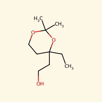 CCC1(CCO)CCOC(C)(C)O1